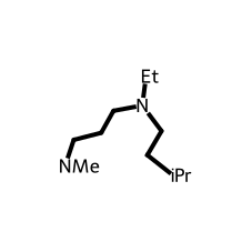 CCN(CCCNC)CCC(C)C